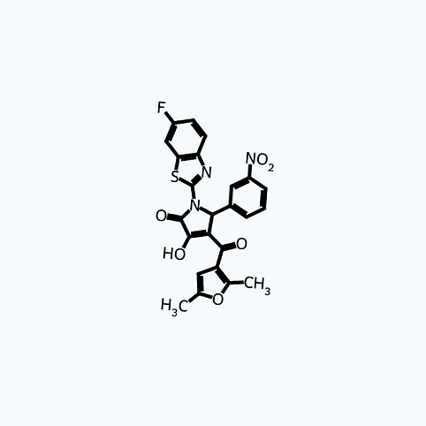 Cc1cc(C(=O)C2=C(O)C(=O)N(c3nc4ccc(F)cc4s3)C2c2cccc([N+](=O)[O-])c2)c(C)o1